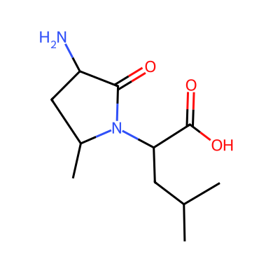 CC(C)CC(C(=O)O)N1C(=O)C(N)CC1C